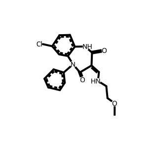 COCCN/C=C1/C(=O)Nc2ccc(Cl)cc2N(c2ccccc2)C1=O